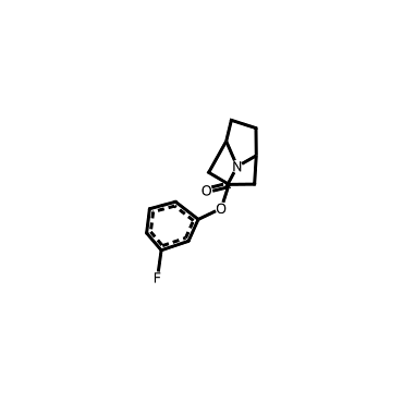 O=[C]N1C2CCC1CC(Oc1cccc(F)c1)C2